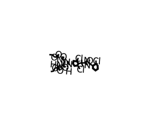 CCOC(=O)NC(=O)C(=NNc1cc(Cl)c(C(C)(C)c2noc(-c3ccccc3Cl)n2)c(Cl)c1)C(=O)NC(=O)OCC